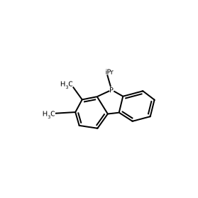 Cc1ccc2c3ccccc3p(C(C)C)c2c1C